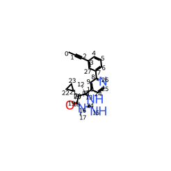 CC#Cc1cccc(-c2cc([C@@]3(C)NC(=N)N(C)C(=O)[C@@H]3C3CC3)ccn2)c1